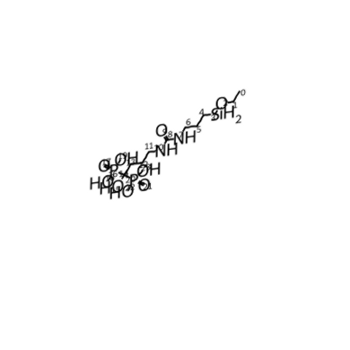 CCO[SiH2]CCCNC(=O)NCCCC(O)(P(=O)(O)O)P(=O)(O)O